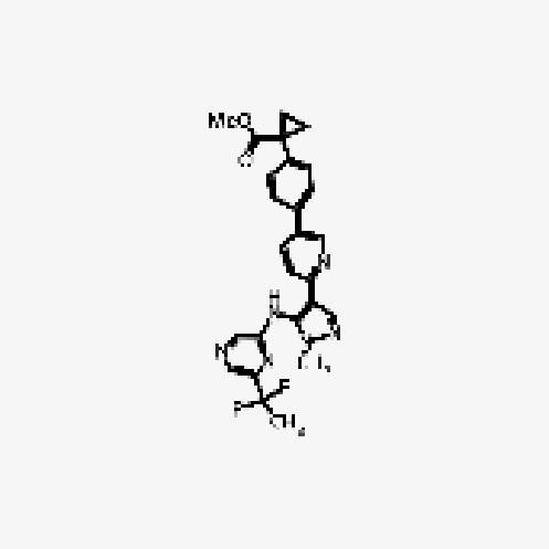 COC(=O)C1(c2ccc(-c3ccc(-c4cnn(C)c4Nc4cncc(C(C)(F)F)n4)nc3)cc2)CC1